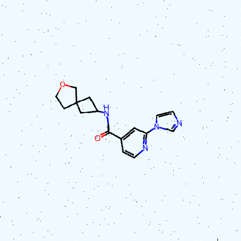 O=C(NC1CC2(CCOC2)C1)c1ccnc(-n2ccnc2)c1